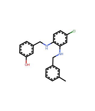 Cc1cccc(CNc2cc(Cl)ccc2NCc2cccc(O)c2)c1